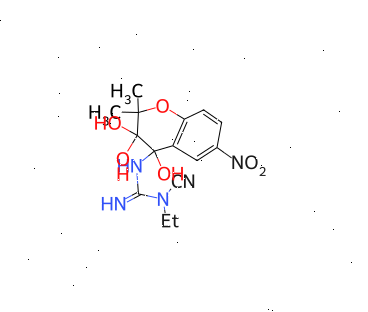 CCN(C#N)C(=N)NC1(O)c2cc([N+](=O)[O-])ccc2OC(C)(C)C1(O)O